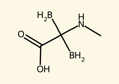 BC(B)(NC)C(=O)O